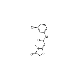 CN1C(=O)CSC1=CC(=O)Nc1cccc(Cl)c1